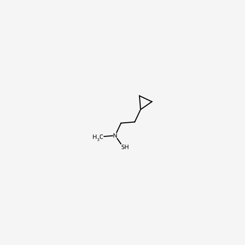 CN(S)CCC1CC1